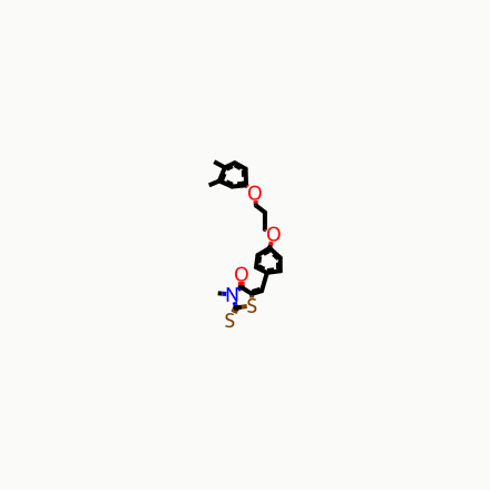 Cc1ccc(OCCCOc2ccc(C=C3SC(=S)N(C)C3=O)cc2)cc1C